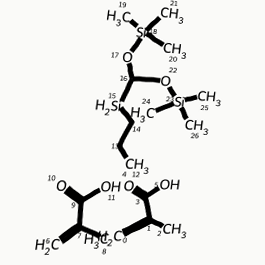 C=C(C)C(=O)O.C=C(C)C(=O)O.CCC[SiH2]C(O[Si](C)(C)C)O[Si](C)(C)C